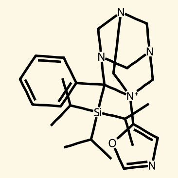 CC(C)[Si](C(C)C)(C(C)C)C1(c2ccccc2)N2CN3CN(C2)C[N+]1(c1cnco1)C3